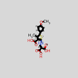 COc1ccc(-c2sc(NC=C(C(=O)O)C(=O)O)c(C(=O)O)c2C)cc1